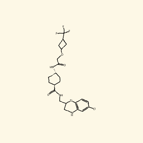 O=C(COC1CC(C(F)(F)F)C1)N[C@H]1CC[C@H](C(=O)NCC2CNc3cc(Cl)ccc3O2)CC1